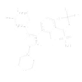 NS(=O)(=O)C(CC(F)(F)F)c1cccc(-c2nc(N3CCOCC3)sc2-c2ccnc(Cl)n2)c1Cl